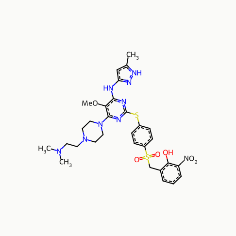 COc1c(Nc2cc(C)[nH]n2)nc(Sc2ccc(S(=O)(=O)Cc3cccc([N+](=O)[O-])c3O)cc2)nc1N1CCN(CCN(C)C)CC1